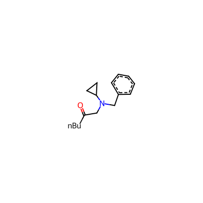 CCCCC(=O)CN(Cc1ccccc1)C1CC1